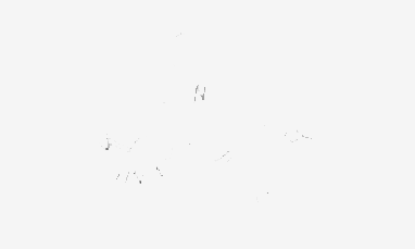 COc1ccc(CC2=NNC(=O)/C2=C/c2cn(CCCCO)c3ccccc23)cc1